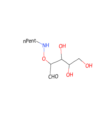 CCCCCNOC(C=O)C(O)C(O)CO